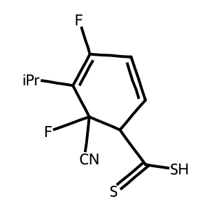 CC(C)C1=C(F)C=CC(C(=S)S)C1(F)C#N